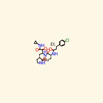 CC[C@@H](CC(=O)N[C@@H](CC(C)(C)C)C(=O)NC(C[C@@H]1CCNC1=O)C(=O)C(=O)NC1CC1)c1ccc(Cl)cc1